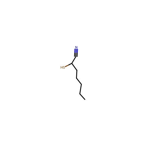 CCCCCC(S)C#N